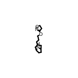 C(COC1=NOCC1)CC1CC2CCC(C1)N2